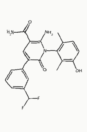 Cc1ccc(O)c(C)c1-n1c(N)c(C(N)=O)cc(-c2cccc(C(F)F)c2)c1=O